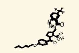 CCCCCCOc1ccc(C(=O)C2CCC(Cn3nnc4ccc(C(F)(F)F)cc4c3=O)C2C(=O)O)cc1